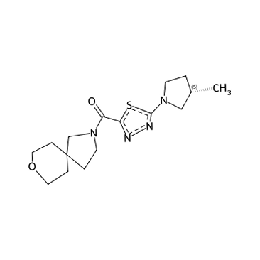 C[C@H]1CCN(c2nnc(C(=O)N3CCC4(CCOCC4)C3)s2)C1